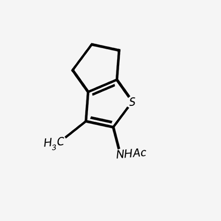 CC(=O)Nc1sc2c(c1C)CCC2